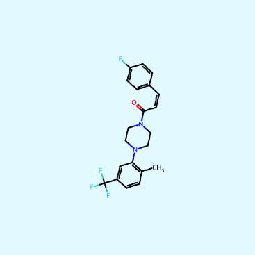 Cc1ccc(C(F)(F)F)cc1N1CCN(C(=O)/C=C\c2ccc(F)cc2)CC1